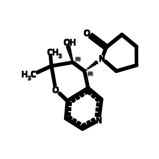 CC1(C)Oc2ccncc2[C@@H](N2CCCCC2=O)[C@@H]1O